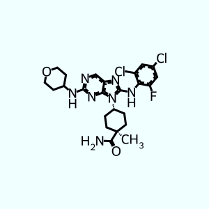 C[C@]1(C(N)=O)CC[C@H](n2c(Nc3c(F)cc(Cl)cc3Cl)nc3cnc(NC4CCOCC4)nc32)CC1